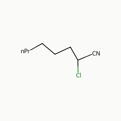 CCCCCCC(Cl)C#N